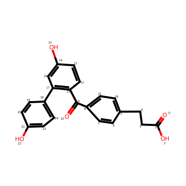 O=C(O)CCc1ccc(C(=O)c2ccc(O)cc2-c2ccc(O)cc2)cc1